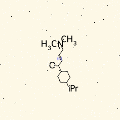 CC(C)C1CCC(C(=O)/C=C/CN(C)C)CC1